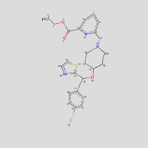 CCOC(=O)c1cccc(CN2CCC(OC(c3ccc(F)cc3)c3nccs3)CC2)n1